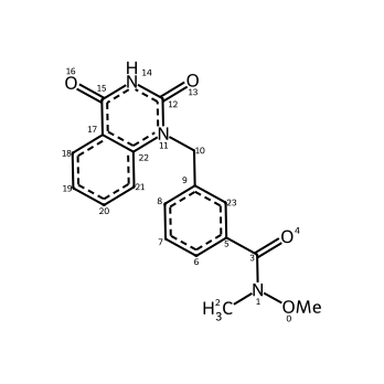 CON(C)C(=O)c1cccc(Cn2c(=O)[nH]c(=O)c3ccccc32)c1